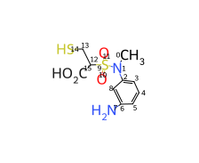 CN(c1cccc(N)c1)S(=O)(=O)C(CS)C(=O)O